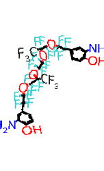 Nc1cc(C(F)(F)C(F)(F)OC(F)(F)C(F)(OC(F)(F)C(F)(F)OC(F)(C(F)(F)F)C(F)(F)OC(F)(F)C(F)(F)c2ccc(O)c(N)c2)C(F)(F)F)ccc1O